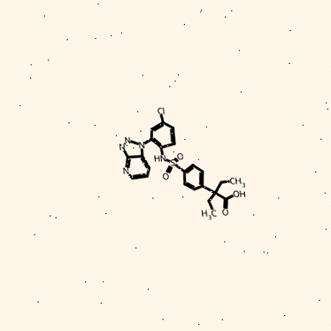 CCC(CC)(C(=O)O)c1ccc(S(=O)(=O)Nc2ccc(Cl)cc2-n2nnc3ncccc32)cc1